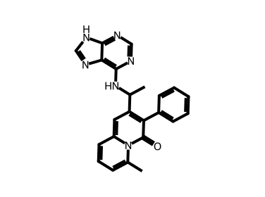 Cc1cccc2cc(C(C)Nc3ncnc4[nH]cnc34)c(-c3ccccc3)c(=O)n12